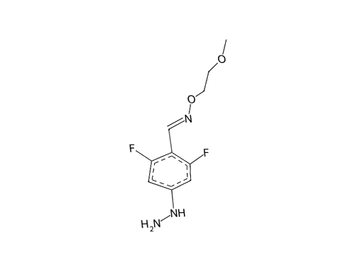 COCCO/N=C/c1c(F)cc(NN)cc1F